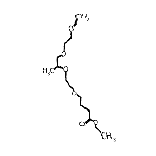 CCOCCOCC(C)OCCOCCCC(=O)OCC